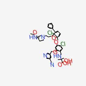 CC(=O)N[C@@H]1CCN(CCCOC2(COc3cc(OCc4cncc(C#N)c4)c(CNC(C)(CO)C(=O)O)cc3Cl)C=CC=C(c3ccccc3)C2(C)Cl)C1